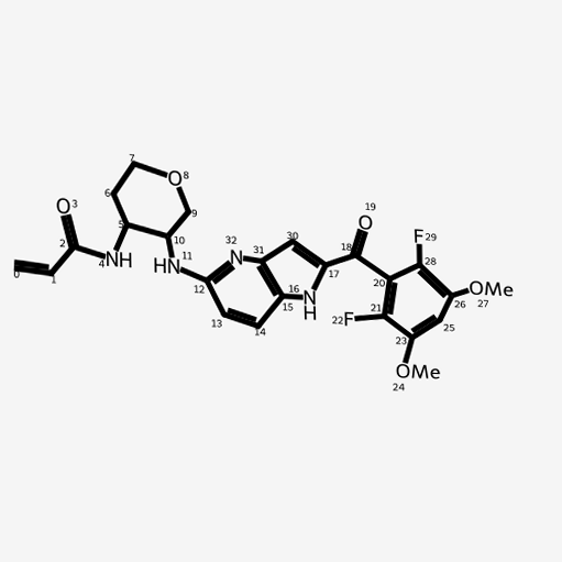 C=CC(=O)NC1CCOCC1Nc1ccc2[nH]c(C(=O)c3c(F)c(OC)cc(OC)c3F)cc2n1